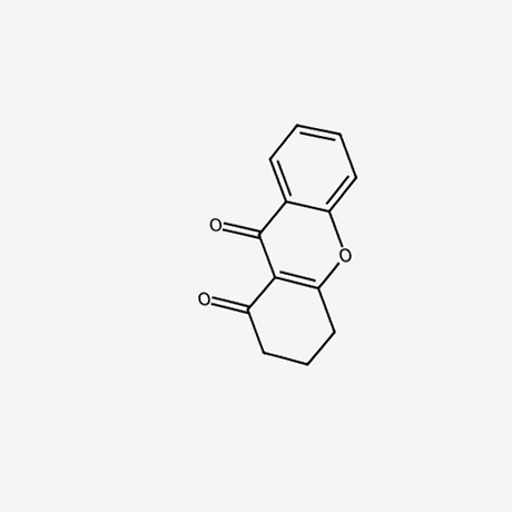 O=C1CCCc2oc3ccccc3c(=O)c21